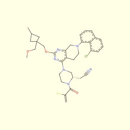 C=C(F)C(=O)N1CCN(c2nc(OCC3(COC)CC(C)C3)nc3c2CCN(c2cccc4cccc(Cl)c24)C3)C[C@@H]1CC#N